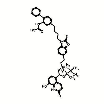 CC(C)(C)[Si](C)(C)OC(CNCCc1ccc2c(c1)oc(=O)n2CCCCc1ccc(-c2ccccc2)c(NC(=O)O)c1)c1ccc(O)c2[nH]c(=O)ccc12